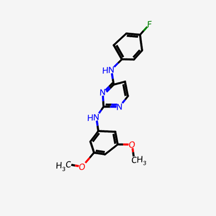 COc1cc(Nc2nccc(Nc3ccc(F)cc3)n2)cc(OC)c1